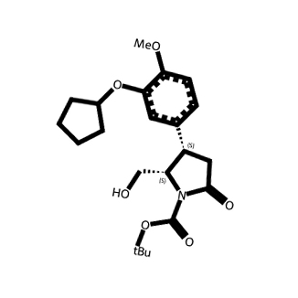 COc1ccc([C@@H]2CC(=O)N(C(=O)OC(C)(C)C)[C@@H]2CO)cc1OC1CCCC1